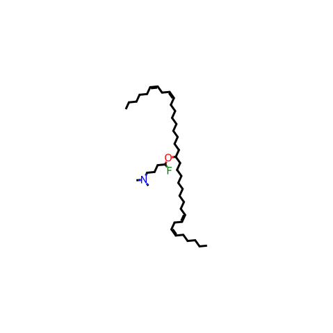 CCCCC/C=C\C/C=C\CCCCCCCCC(CCCCCCCC/C=C\C/C=C\CCCCC)OC(F)CCCN(C)C